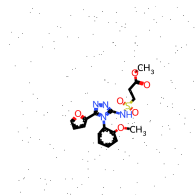 COC(=O)CCS(=O)(=O)Nc1nnc(-c2ccco2)n1-c1ccccc1OC